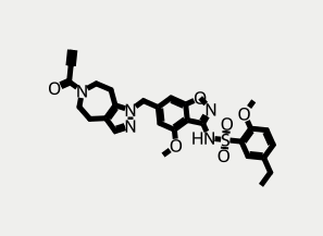 C#CC(=O)N1CCc2cnn(Cc3cc(OC)c4c(NS(=O)(=O)c5cc(CC)ccc5OC)noc4c3)c2CC1